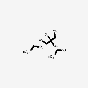 CCCCC(CC)(CO)CO.O=C(O)CS.O=C(O)CS